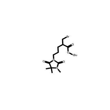 CN1C(=O)N(CCCC(CBr)C(=O)OC(C)(C)C)C(=O)C1(C)C